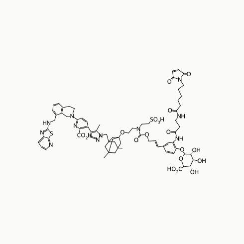 Cc1c(-c2ccc(N3CCc4cccc(CNc5nc6cccnc6s5)c4C3)nc2C(=O)O)cnn1CC12CC3(C)CC(C)(C1)CC(OCCN(CCS(=O)(=O)O)C(=O)OC/C=C/c1ccc(O[C@@H]4O[C@H](C(=O)O)[C@@H](O)[C@H](O)[C@H]4O)c(NC(=O)CCNC(=O)CCCCCN4C(=O)C=CC4=O)c1)(C3)C2